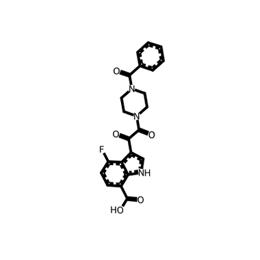 O=C(O)c1ccc(F)c2c(C(=O)C(=O)N3CCN(C(=O)c4ccccc4)CC3)c[nH]c12